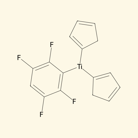 Fc1cc(F)c(F)[c]([Ti]([C]2=CC=CC2)[C]2=CC=CC2)c1F